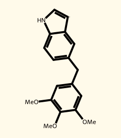 COc1cc(Cc2ccc3[nH]c[c]c3c2)cc(OC)c1OC